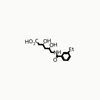 CCc1cccc(C(=O)NC[C@@H](O)C[C@@H](O)CC(=O)O)c1